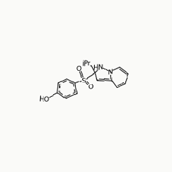 CC(C)C1(S(=O)(=O)c2ccc(O)cc2)C=C2C=CC=CN2N1